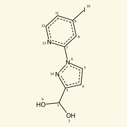 OC(O)c1ccn(-c2cc(I)ccn2)n1